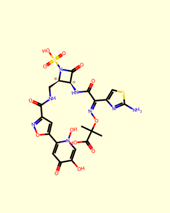 CC(C)(ON=C(C(=O)N[C@@H]1C(=O)N(S(=O)(=O)O)[C@@H]1CNC(=O)c1cc(-c2cc(=O)c(O)cn2O)on1)c1csc(N)n1)C(=O)O